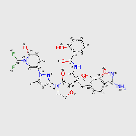 Cc1cc(N2CCO[C@H](C(O)(CNC(=O)c3ccccc3O)Cc3ccc4c(N)noc4c3)C2=O)nn1-c1ccc(=O)n(C(F)F)c1